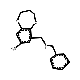 Nc1cc(CNCc2ccccc2)c2c(c1)OCCCO2